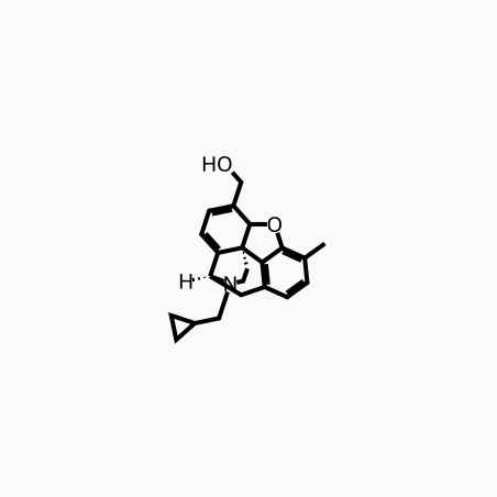 Cc1ccc2c3c1OC1C(CO)=CC=C4[C@H](C2)N(CC2CC2)CC[C@@]431